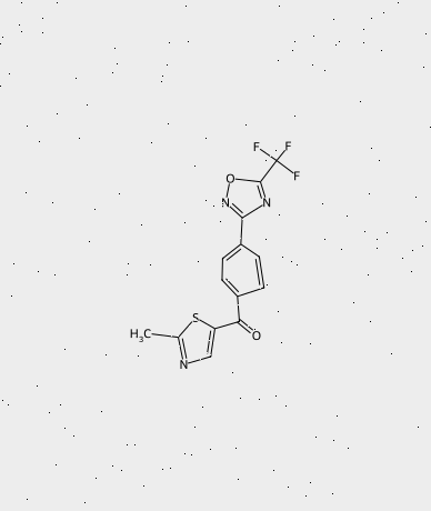 Cc1ncc(C(=O)c2ccc(-c3noc(C(F)(F)F)n3)cc2)s1